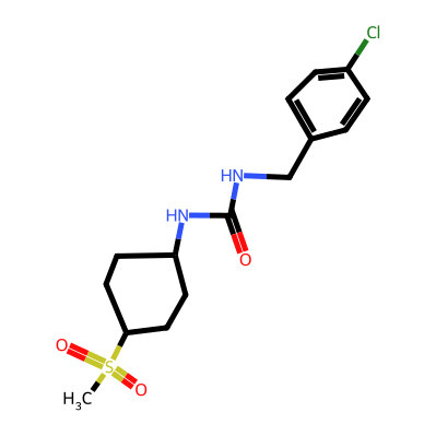 CS(=O)(=O)C1CCC(NC(=O)NCc2ccc(Cl)cc2)CC1